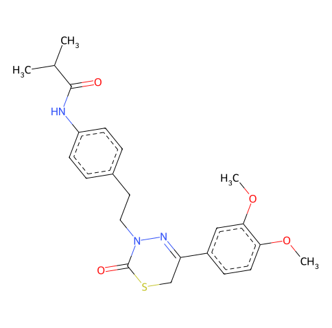 COc1ccc(C2=NN(CCc3ccc(NC(=O)C(C)C)cc3)C(=O)SC2)cc1OC